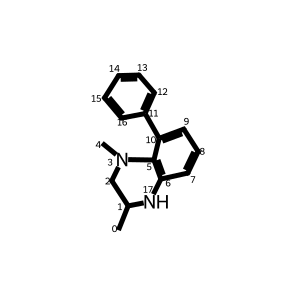 CC1CN(C)c2c(cccc2-c2ccccc2)N1